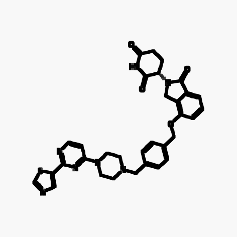 O=C1CC[C@H](N2Cc3c(OCc4ccc(CN5CCN(c6ccnc(-c7cncs7)n6)CC5)cc4)cccc3C2=O)C(=O)N1